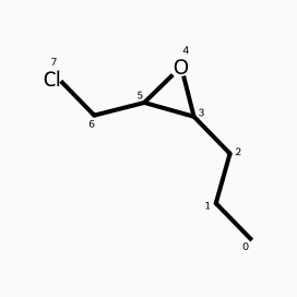 CCCC1OC1CCl